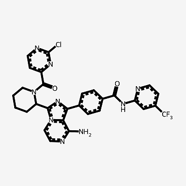 Nc1nccn2c(C3CCCCN3C(=O)c3ccnc(Cl)n3)nc(-c3ccc(C(=O)Nc4cc(C(F)(F)F)ccn4)cc3)c12